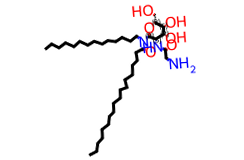 CCCCCCCCCCCCCCCCCC(=O)N(CCCCCCCCCCCCCC)[C@@H]1O[C@H](CO)[C@@H](O)[C@H](O)[C@@H]1NC(=O)CN